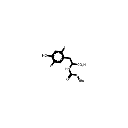 CC(C)(C)OC(=O)NC(Cc1cc(F)c(O)cc1F)C(=O)O